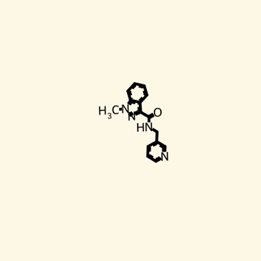 Cn1nc(C(=O)NCc2cccnc2)c2ccccc21